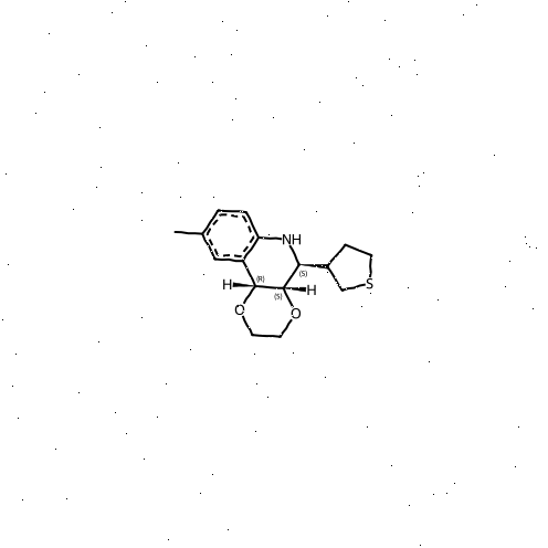 Cc1ccc2c(c1)[C@H]1OCCO[C@H]1[C@H](C1CCSC1)N2